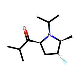 CC(C)C(=O)[C@@H]1C[C@@H](F)[C@H](C)N1C(C)C